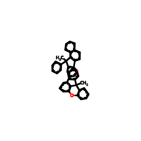 CC1(c2ccccc2)c2ccccc2Oc2cccc(-c3ccc4c(c3)C(C)(c3ccccc3)c3c-4ccc4ccccc34)c21